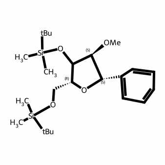 CO[C@@H]1C(O[Si](C)(C)C(C)(C)C)[C@@H](CO[Si](C)(C)C(C)(C)C)O[C@H]1c1ccccc1